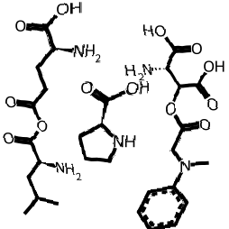 CC(C)C[C@H](N)C(=O)OC(=O)CC[C@H](N)C(=O)O.CN(CC(=O)OC(C(=O)O)[C@H](N)C(=O)O)c1ccccc1.O=C(O)[C@@H]1CCCN1